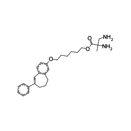 CC(N)(CN)C(=O)OCCCCCCOc1ccc2c(c1)CCCC(c1ccccc1)=C2